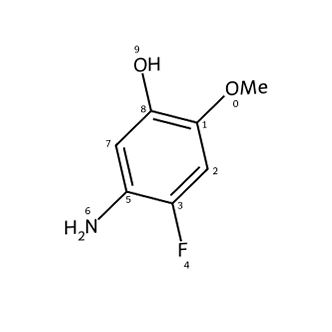 COc1cc(F)c(N)cc1O